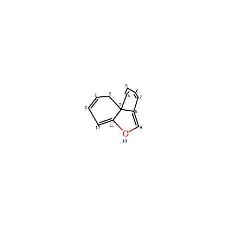 C1=CCC23C=CC=CC2=COC3=C1